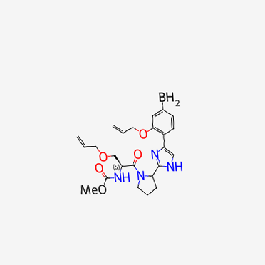 Bc1ccc(-c2c[nH]c(C3CCCN3C(=O)[C@H](COCC=C)NC(=O)OC)n2)c(OCC=C)c1